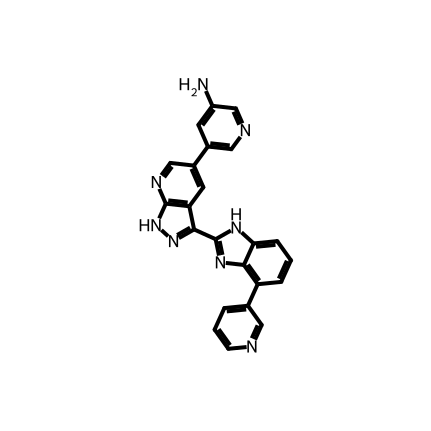 Nc1cncc(-c2cnc3[nH]nc(-c4nc5c(-c6cccnc6)cccc5[nH]4)c3c2)c1